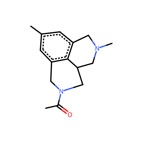 CC(=O)N1Cc2cc(C)cc3c2C(CN(C)C3)C1